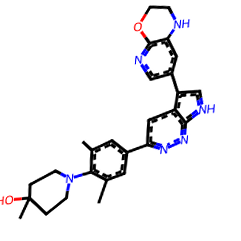 Cc1cc(-c2cc3c(-c4cnc5c(c4)NCCO5)c[nH]c3nn2)cc(C)c1N1CCC(C)(O)CC1